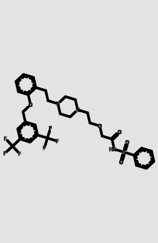 O=C(COCCN1CCN(CCc2ccccc2OCc2cc(C(F)(F)F)cc(C(F)(F)F)c2)CC1)NS(=O)(=O)c1ccccc1